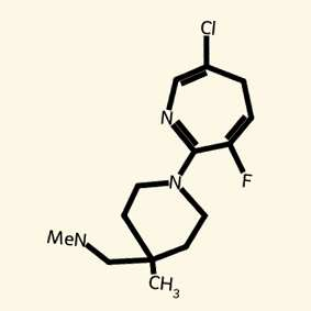 CNCC1(C)CCN(C2=NC=C(Cl)CC=C2F)CC1